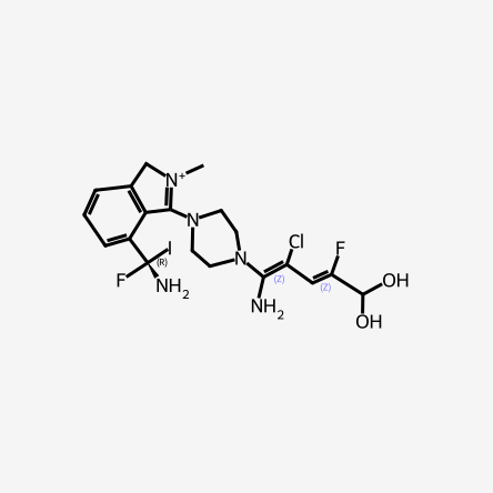 C[N+]1=C(N2CCN(/C(N)=C(Cl)/C=C(\F)C(O)O)CC2)c2c(cccc2[C@@](N)(F)I)C1